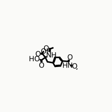 CONC(=O)c1ccc(CC(NC(C)=O)(C(=O)O)C(=O)O)cc1